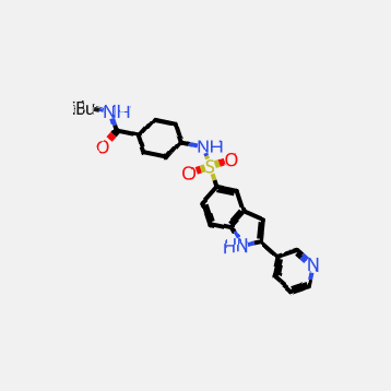 CCC(C)NC(=O)C1CCC(NS(=O)(=O)c2ccc3[nH]c(-c4cccnc4)cc3c2)CC1